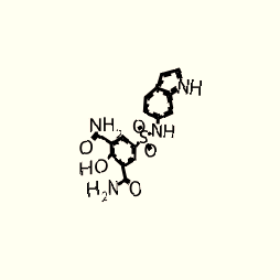 NC(=O)c1cc(S(=O)(=O)Nc2ccc3cc[nH]c3c2)cc(C(N)=O)c1O